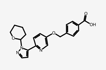 O=C(O)c1ccc(COc2ccc(-c3ccnn3C3CCCCO3)nc2)cc1